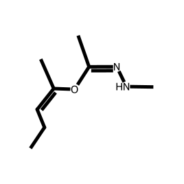 CC/C=C(/C)O/C(C)=N\NC